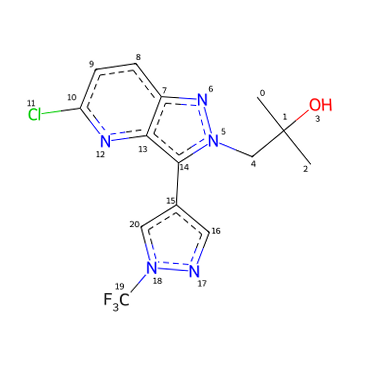 CC(C)(O)Cn1nc2ccc(Cl)nc2c1-c1cnn(C(F)(F)F)c1